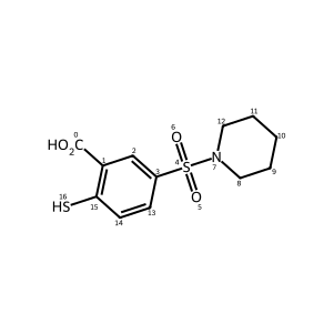 O=C(O)c1cc(S(=O)(=O)N2CCCCC2)ccc1S